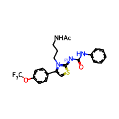 CC(=O)NCCCn1c(-c2ccc(OC(F)(F)F)cc2)cs/c1=N\C(=O)Nc1ccccc1